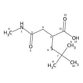 CNC(=O)CC(SC(C)(C)C)C(=O)O